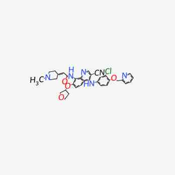 CN1CCC(=CC(=O)Nc2c(OC3CCOC3)ccc3c(Nc4ccc(OCc5ccccn5)c(Cl)c4)c(C#N)cnc23)CC1